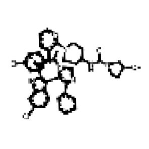 CC(c1ccc(Cl)cc1)n1cnc(-c2ccccc2)c1-c1c(C(=O)Nc2cccnc2N2CCC(NC(=O)N3CC[C@H](O)C3)CC2)[nH]c2cc(Cl)ccc12